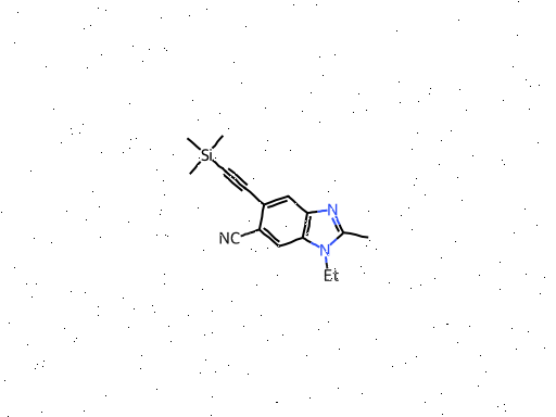 CCn1c(C)nc2cc(C#C[Si](C)(C)C)c(C#N)cc21